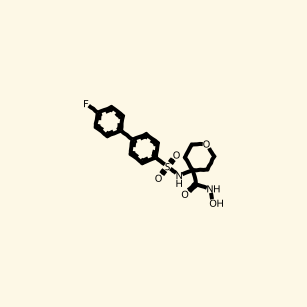 O=C(NO)C1(NS(=O)(=O)c2ccc(-c3ccc(F)cc3)cc2)CCOCC1